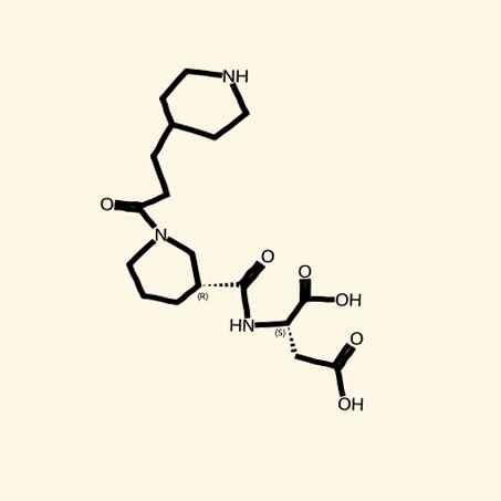 O=C(O)C[C@H](NC(=O)[C@@H]1CCCN(C(=O)CCC2CCNCC2)C1)C(=O)O